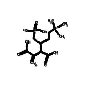 C=C(C(=O)O)C(C(=O)O)C(CC[N+](C)(C)C)CP(=O)(O)O